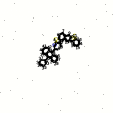 C=C(/C=c1/sc2ccc3cc4sc5ccccc5c4cc3c2c1=C)c1c2ccccc2c(C2=CC=CCC2)c2ccccc12